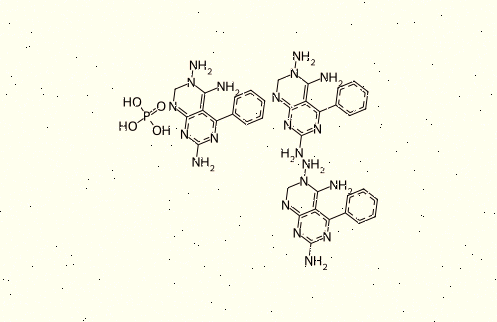 NC1=c2c(-c3ccccc3)nc(N)nc2=NCN1N.NC1=c2c(-c3ccccc3)nc(N)nc2=NCN1N.NC1=c2c(-c3ccccc3)nc(N)nc2=NCN1N.O=P(O)(O)O